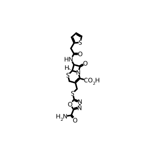 NC(=O)c1nnc(SCC2=C(C(=O)O)N3C(=O)C(NC(=O)Cc4cccs4)[C@@H]3SC2)o1